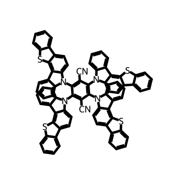 N#Cc1c(-n2c3ccccc3c3c4sc5ccccc5c4ccc32)c(-n2c3ccccc3c3c4sc5ccccc5c4ccc32)c(C#N)c(-n2c3ccccc3c3c4sc5ccccc5c4ccc32)c1-n1c2ccccc2c2c3sc4ccccc4c3ccc21